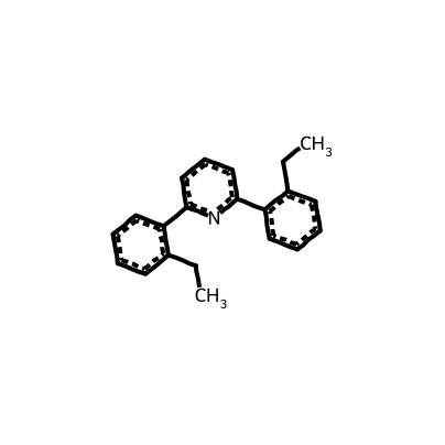 CCc1ccccc1-c1cccc(-c2ccccc2CC)n1